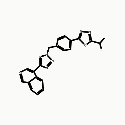 FC(F)c1nnc(-c2ccc(Cn3nnc(-c4cncc5ccccc45)n3)cc2)o1